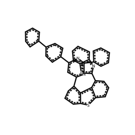 c1ccc(-c2ccc(-c3cc(-c4cccc5sc6cccc(-c7nc8ccccc8s7)c6c45)nc(-c4ccccc4)n3)cc2)cc1